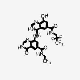 O=C(NCC(F)(F)C(F)(F)F)c1cc(O)c2nc[nH]c(=O)c2c1.O=C(NCC(F)(F)F)c1cc(O)c2nc[nH]c(=O)c2c1